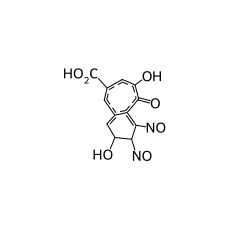 O=NC1=c2c(cc(C(=O)O)cc(O)c2=O)=CC(O)C1N=O